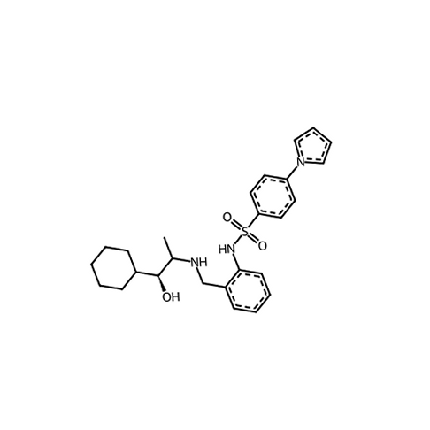 CC(NCc1ccccc1NS(=O)(=O)c1ccc(-n2cccc2)cc1)[C@@H](O)C1CCCCC1